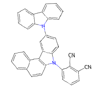 N#Cc1cccc(-n2c3ccc(-n4c5ccccc5c5ccccc54)cc3c3c4ccccc4ccc32)c1C#N